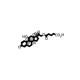 C[C@]12C=CC(=O)C=C1CC[C@H]1[C@@H]3CC[C@](O)(C(=O)COC(=O)CCCC(=O)O)[C@@]3(C)C[C@H](O)[C@@]12F